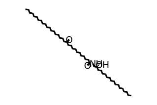 CCCCCCCCCCCCCCCCCCCC(=O)CCCCCCCCCCC(=O)NC[C@@H](O)CCCCCCCCCCCCCCCC